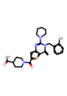 C=C1c2sc(C(=O)N3CCC(C(=O)CCC)CC3)cc2N=C(N2CCCCC2)N1Cc1ccccc1C#N